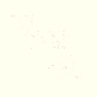 NC1C(=O)N2C(C(=O)O)=C(CN3CCC[C@H]4CN(c5c(F)cc6c(=O)c(OC(=O)O)cn(C7CC7)c6c5Cl)C[C@H]43)CSC12